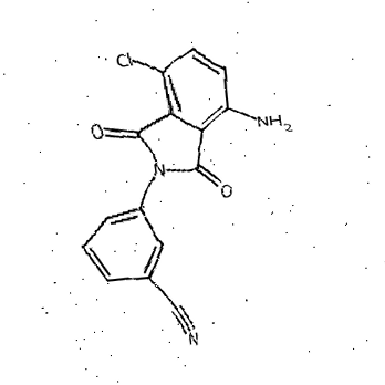 N#Cc1cccc(N2C(=O)c3c(N)ccc(Cl)c3C2=O)c1